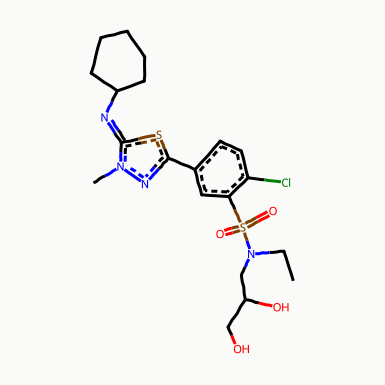 CCN(CC(O)CO)S(=O)(=O)c1cc(-c2nn(C)c(=NC3CCCCC3)s2)ccc1Cl